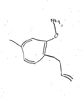 C=CCc1ccc(C)cc1ON